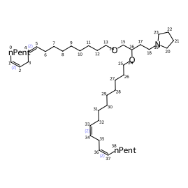 CCCCC/C=C\C/C=C\CCCCCCCCOCC(CCN1CCCC1)OCCCCCCCC/C=C\C/C=C\CCCCC